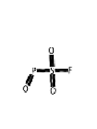 O=PS(=O)(=O)F